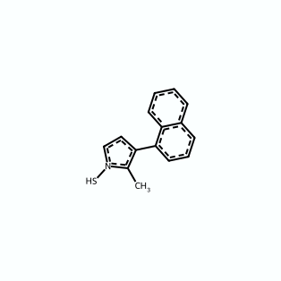 Cc1c(-c2cccc3ccccc23)ccn1S